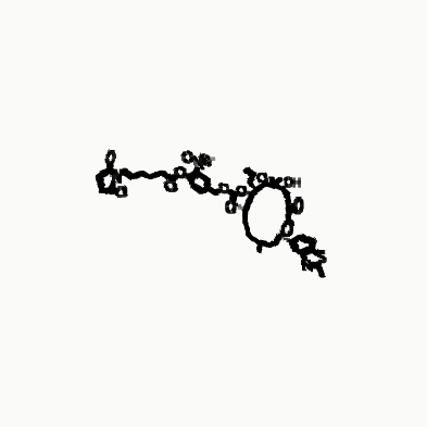 C=CC[C@H]1C(=O)C(C)(C)[C@@H](O)CC(=O)O[C@H](c2ccc3sc(C)nc3c2)C/C=C(/C)CCC[C@H](C)[C@@H]1OC(=O)OCc1ccc(OC(=O)CCCCCN2C(=O)C=CC2=O)c([N+](=O)[O-])c1